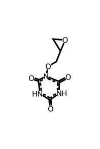 O=c1[nH]c(=O)n(OCC2CO2)c(=O)[nH]1